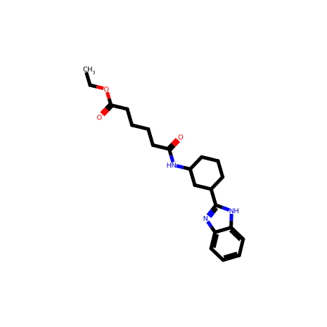 CCOC(=O)CCCCC(=O)NC1CCCC(c2nc3ccccc3[nH]2)C1